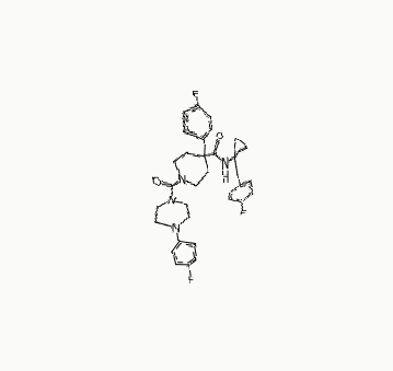 O=C(N1CCN(c2ccc(F)cc2)CC1)N1CCC(C(=O)NC2(c3ccc(F)cc3)CC2)(c2ccc(F)cc2)CC1